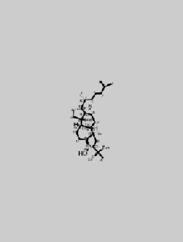 CC(C)CCC[C@@H](C)[C@H]1CC[C@H]2[C@@H]3CCC(=NO)[C@](C)(CCC(C)(F)F)[C@H]3CC[C@]12C